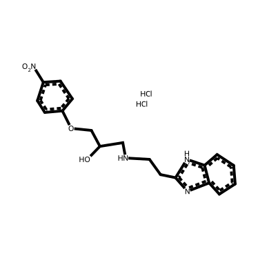 Cl.Cl.O=[N+]([O-])c1ccc(OCC(O)CNCCc2nc3ccccc3[nH]2)cc1